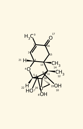 CC1=C[C@H]2O[C@@H]3C(O)(O)C(O)[C@](C)([C@@]2(C)CC1=O)[C@]31CO1